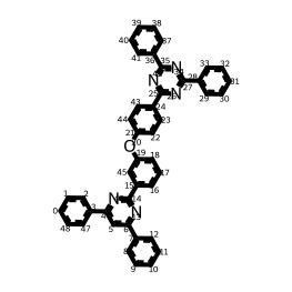 c1ccc(-c2cc(-c3ccccc3)nc(-c3cccc(Oc4ccc(-c5nc(-c6ccccc6)nc(-c6ccccc6)n5)cc4)c3)n2)cc1